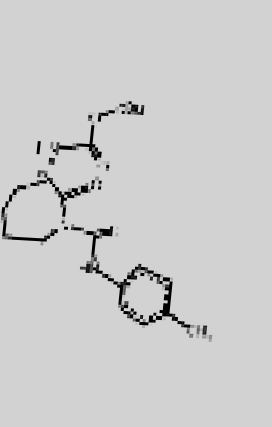 Cc1ccc(NC(=O)N2CCCC[C@H](NC(=O)OC(C)(C)C)C2=O)cc1